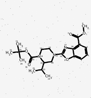 COC(=O)c1cccc2oc(N3CCN(C(=O)OC(C)(C)C)C(C(C)C)C3)nc12